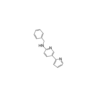 c1ccc(CNc2ccc(-c3ccccn3)cn2)cc1